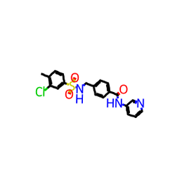 Cc1ccc(S(=O)(=O)NCc2ccc(C(=O)Nc3cccnc3)cc2)cc1Cl